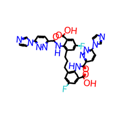 O=C(Nc1c(CCCc2cc(F)cc(C(=O)O)c2NC(=O)c2ccc(-n3ccnc3)nn2)cc(F)cc1C(=O)O)c1ccc(-n2ccnc2)nn1